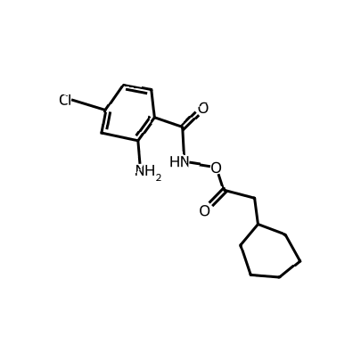 Nc1cc(Cl)ccc1C(=O)NOC(=O)CC1CCCCC1